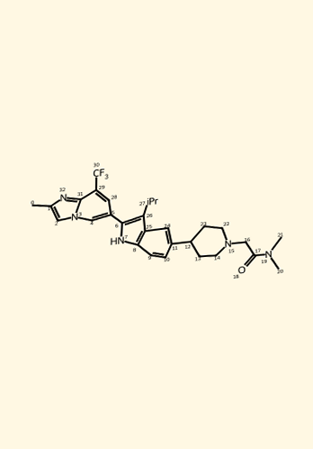 Cc1cn2cc(-c3[nH]c4ccc(C5CCN(CC(=O)N(C)C)CC5)cc4c3C(C)C)cc(C(F)(F)F)c2n1